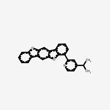 CC(C)c1ccnc(-c2cccc3c2oc2cc4c(cc23)oc2ccccc24)c1